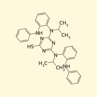 CC(C)N(c1nc(S)nc(N(c2ccccc2Nc2ccccc2)C(C)C)n1)c1ccccc1Nc1ccccc1